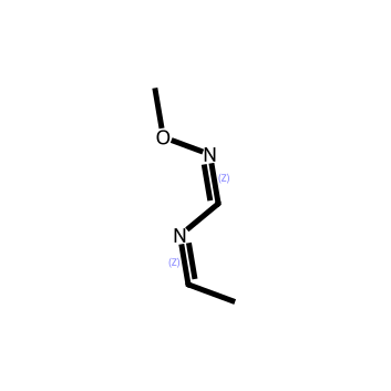 C/C=N\C=N/OC